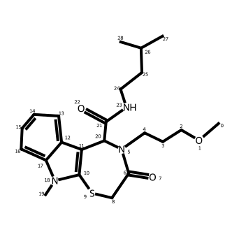 COCCCN1C(=O)CSc2c(c3ccccc3n2C)C1C(=O)NCCC(C)C